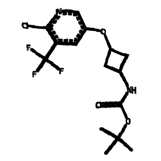 CC(C)(C)OC(=O)NC1CC(Oc2cnc(Cl)c(C(F)(F)F)c2)C1